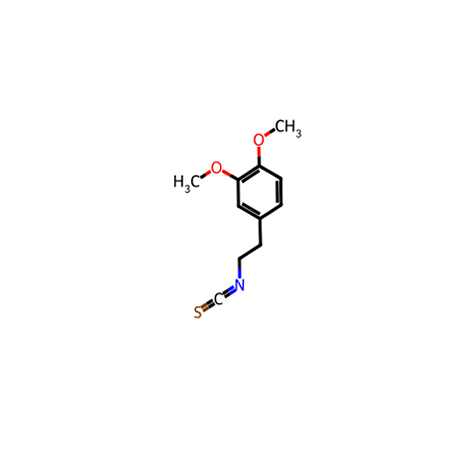 COc1ccc(CCN=C=S)cc1OC